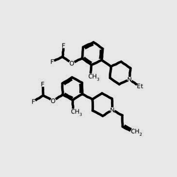 C=CCN1CCC(c2cccc(OC(F)F)c2C)CC1.CCN1CCC(c2cccc(OC(F)F)c2C)CC1